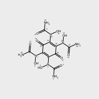 NC(=O)N(O)C1=C(N(O)C(N)=O)C(=O)C(N(O)C(N)=O)=C(N(O)C(N)=O)C1=O